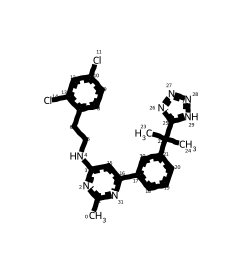 Cc1nc(NCCc2ccc(Cl)cc2Cl)cc(-c2cccc(C(C)(C)c3nnn[nH]3)c2)n1